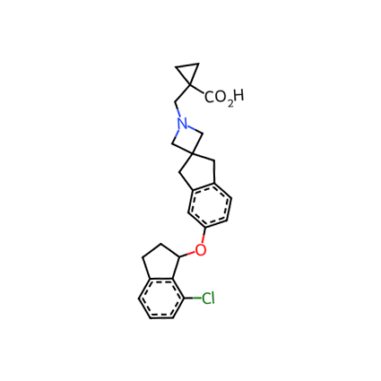 O=C(O)C1(CN2CC3(Cc4ccc(OC5CCc6cccc(Cl)c65)cc4C3)C2)CC1